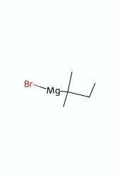 CC[C](C)(C)[Mg][Br]